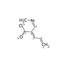 C=C/C=C(\C=N/C)C(=O)Cl